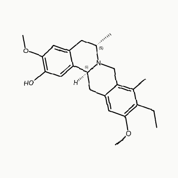 CCc1c(OC)cc2c(c1C)CN1[C@@H](C)Cc3cc(OC)c(O)cc3[C@@H]1C2